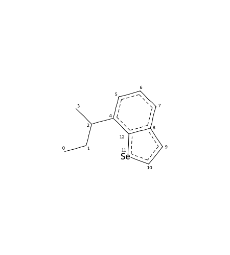 CCC(C)c1cccc2cc[se]c12